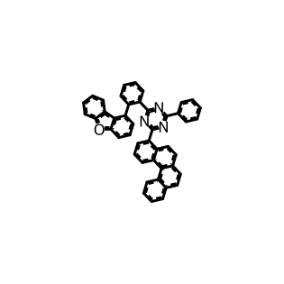 c1ccc(-c2nc(-c3ccccc3-c3cccc4oc5ccccc5c34)nc(-c3cccc4c3ccc3ccc5ccccc5c34)n2)cc1